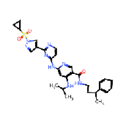 CC(C)Nc1cc(Nc2ccnc(-c3cnn(S(=O)(=O)C4CC4)c3)n2)ncc1C(=O)NCCC(C)c1ccccc1